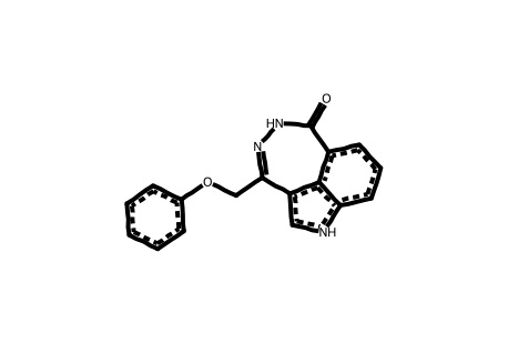 O=C1NN=C(COc2ccccc2)c2c[nH]c3cccc1c23